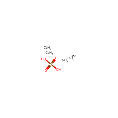 O=S(=O)(O)O.[AlH3].[CaH2].[CaH2].[CaH2].[Mn]